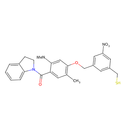 CNc1cc(OCc2cc(CS)cc([N+](=O)[O-])c2)c(C)cc1C(=O)N1CCc2ccccc21